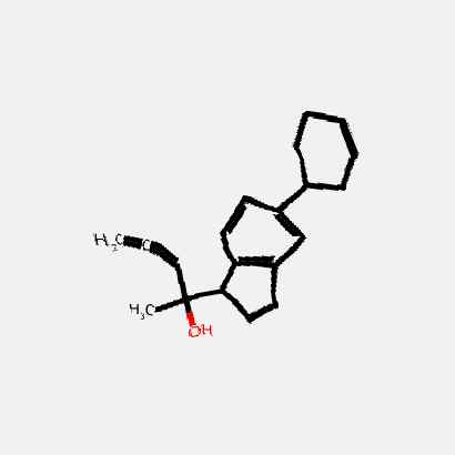 C=C=CC(C)(O)C1CCc2cc(C3CCCCC3)ccc21